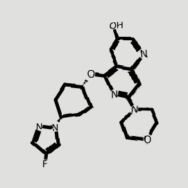 Oc1cnc2cc(N3CCOCC3)nc(O[C@H]3CC[C@@H](n4cc(F)cn4)CC3)c2c1